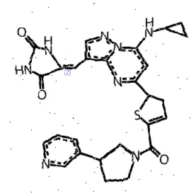 O=C1NC(=O)/C(=C/c2cnn3c(NC4CC4)cc(C4CC=C(C(=O)N5CCC(c6cccnc6)C5)S4)nc23)N1